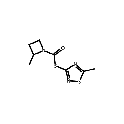 Cc1nc(SC(=O)N2CCC2C)ns1